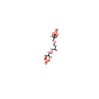 CC(CCOCC12COP(=O)(OC1)OC2)COCC12COP(=O)(OC1)OC2